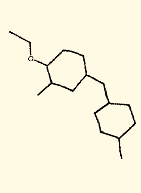 CCOC1CCC(CC2CCC(C)CC2)CC1C